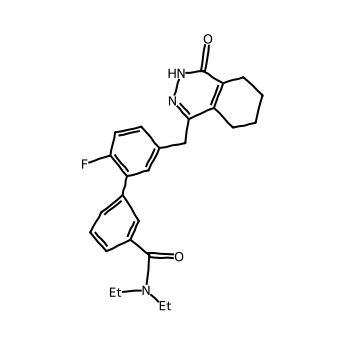 CCN(CC)C(=O)c1cccc(-c2cc(Cc3n[nH]c(=O)c4c3CCCC4)ccc2F)c1